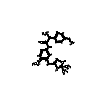 CC(C)Cc1ccc(C(C)C(=O)Oc2ccc(C(=O)O)c(CC3COC(C)(C)O3)c2)cc1